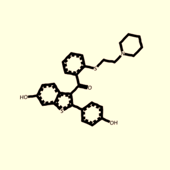 O=C(c1ccccc1SCCN1CCCCC1)c1c(-c2ccc(O)cc2)sc2cc(O)ccc12